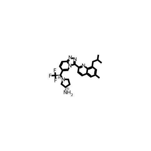 Cc1cc(CC(C)C)c2nc(-c3nnc4ccc([C@@H](N5CC[C@H](N)C5)C(F)(F)F)cn34)ccc2c1